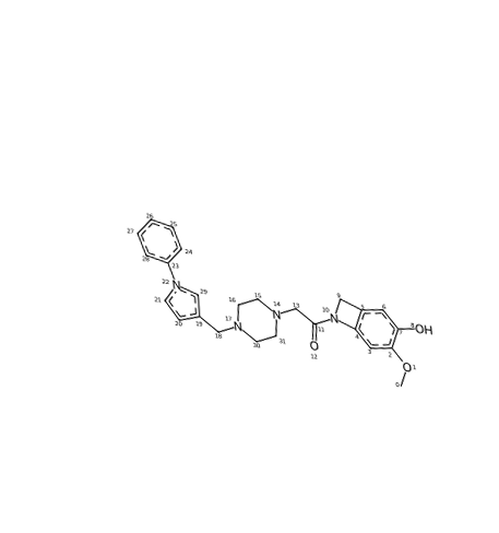 COc1cc2c(cc1O)CN2C(=O)CN1CCN(Cc2ccn(-c3ccccc3)c2)CC1